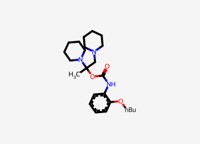 CCCCOc1ccccc1NC(=O)OC(C)(CN1CCCCC1)N1CCCCC1